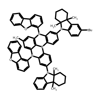 Cc1cc2c3c(c1)N(c1cccc4oc5ccccc5c14)c1cc(N4c5ccccc5C5(C)CCCCC45C)ccc1B3c1ccc(N3c4ccc(C(C)(C)C)cc4C4(C)CCCCC34C)cc1N2c1cccc2c1oc1ccccc12